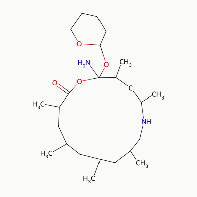 CC1CNC(C)CC(C)C(N)(OC2CCCCO2)OC(=O)C(C)CC(C)CC(C)C1